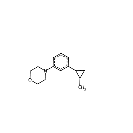 CC1CC1c1cccc(N2CCOCC2)c1